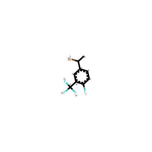 CC(Br)c1ccc(F)c(C(F)(F)F)c1